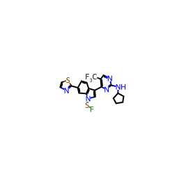 FSn1cc(-c2nc(NC3CCCC3)ncc2C(F)(F)F)c2ccc(-c3nccs3)cc21